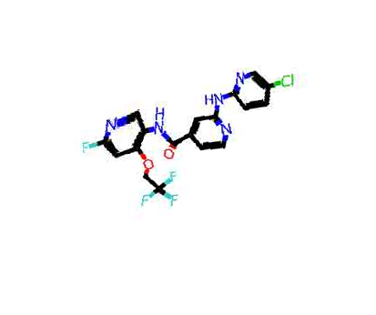 O=C(Nc1cnc(F)cc1OCC(F)(F)F)c1ccnc(Nc2ccc(Cl)cn2)c1